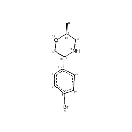 C[C@H]1CN[C@H](c2ccc(Br)cc2)CO1